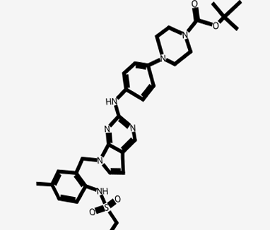 CCS(=O)(=O)Nc1ccc(C)cc1Cn1ccc2cnc(Nc3ccc(N4CCN(C(=O)OC(C)(C)C)CC4)cc3)nc21